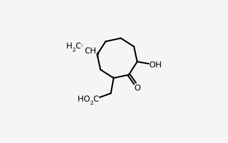 O=C(O)C[C]1CCCCCC(O)C1=O.[CH2].[CH2]